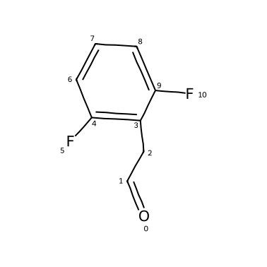 O=CCc1c(F)cccc1F